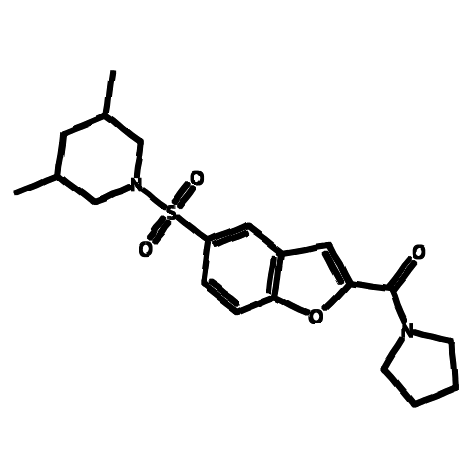 CC1CC(C)CN(S(=O)(=O)c2ccc3oc(C(=O)N4CCCC4)cc3c2)C1